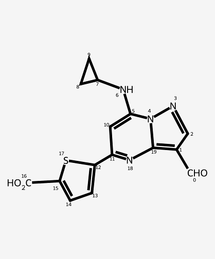 O=Cc1cnn2c(NC3CC3)cc(-c3ccc(C(=O)O)s3)nc12